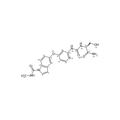 CNC(=O)n1ccc2cc(Oc3ccnc(NC(=O)N[C@@H](CO)C(N)=O)c3)ccc21